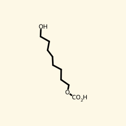 O=C(O)OCCCCCCCCO